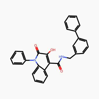 O=C(NCc1cccc(-c2ccccc2)c1)c1c(O)c(=O)n(-c2ccccc2)c2ccccc12